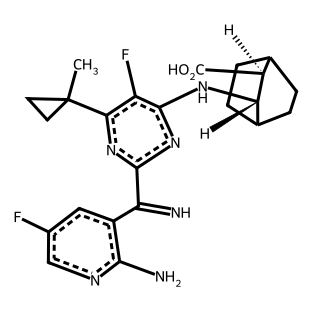 CC1(c2nc(C(=N)c3cc(F)cnc3N)nc(N[C@H]3C4CCC(CC4)[C@@H]3C(=O)O)c2F)CC1